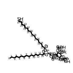 CCCCCCCCCCCCCCCC(=O)O[C@H](COC(=O)CCCCCCCCCCCCCCCS)COP(=O)(O)OC1C(O)[C@H](OP(=O)(O)O)C(O)[C@H](OP(=O)(O)O)[C@@H]1O